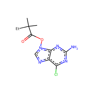 CCC(C)(C)C(=O)On1cnc2c(Cl)nc(N)nc21